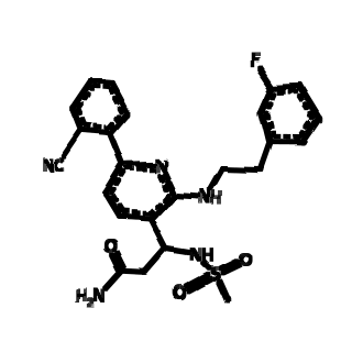 CS(=O)(=O)NC(CC(N)=O)c1ccc(-c2ccccc2C#N)nc1NCCc1cccc(F)c1